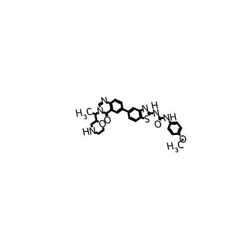 COc1ccc(NC(=O)Nc2nc3cc(-c4ccc5ncn(C(C)C6CNCCO6)c(=O)c5c4)ccc3s2)cc1